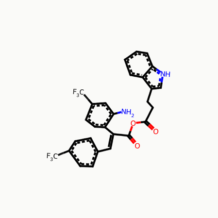 Nc1cc(C(F)(F)F)ccc1/C(=C\c1ccc(C(F)(F)F)cc1)C(=O)OC(=O)CCc1c[nH]c2ccccc12